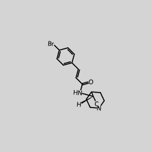 O=C(C=Cc1ccc(Br)cc1)N[C@H]1CN2CCC1CC2